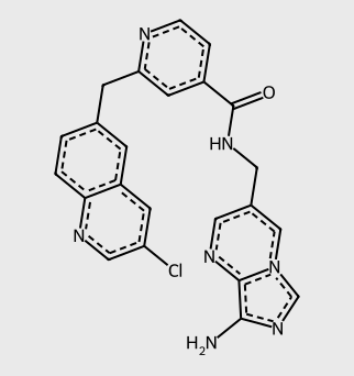 Nc1ncn2cc(CNC(=O)c3ccnc(Cc4ccc5ncc(Cl)cc5c4)c3)cnc12